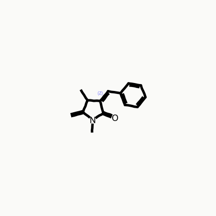 C=C1C(C)/C(=C/c2ccccc2)C(=O)N1C